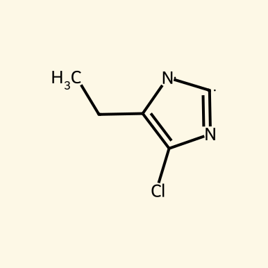 CCC1=C(Cl)N=[C][N]1